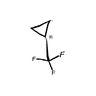 FC(F)(F)[C@@H]1[CH]C1